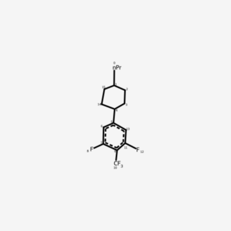 CCCC1CCC(c2cc(F)c(C(F)(F)F)c(F)c2)CC1